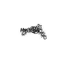 CCCc1c(C(=O)NC(Cc2c[nH]c3ccccc23)C(=O)OC)oc2cc(-c3ccc(Cl)cc3)ccc12